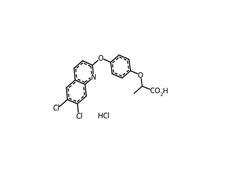 CC(Oc1ccc(Oc2ccc3cc(Cl)c(Cl)cc3n2)cc1)C(=O)O.Cl